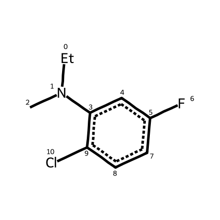 CCN(C)c1cc(F)ccc1Cl